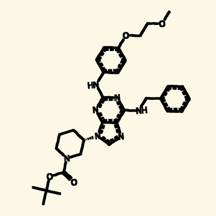 COCCOc1ccc(Nc2nc(NCc3ccccc3)c3ncn([C@H]4CCCN(C(=O)OC(C)(C)C)C4)c3n2)cc1